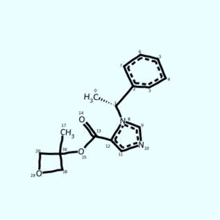 C[C@H](c1ccccc1)n1cncc1C(=O)OC1(C)COC1